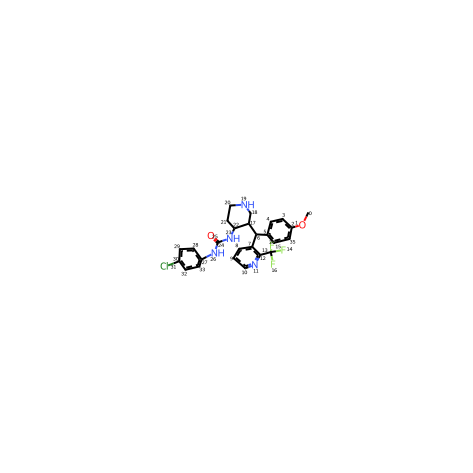 COc1ccc(C(c2cccnc2C(F)(F)F)C2CNCCC2NC(=O)Nc2ccc(Cl)cc2)cc1